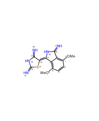 COc1ccc(OC)c2c1C(=N)N/C2=C1/SC(=N)NC1=N